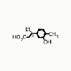 CC[C@@H](CC(=O)O)c1ccc(C)c(O)c1